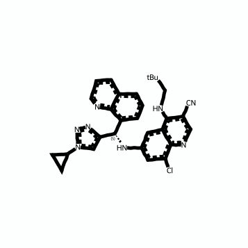 CC(C)(C)CNc1c(C#N)cnc2c(Cl)cc(N[C@H](c3cn(C4CC4)nn3)c3cccc4cccnc34)cc12